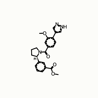 COC(=O)c1cccc([C@H]2CCCN2C(=O)c2ccc(-c3cn[nH]c3)c(OC)c2)c1